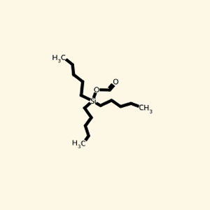 CCCCC[Si](CCCCC)(CCCCC)OC=O